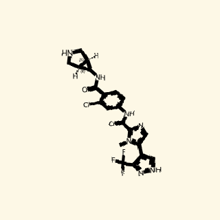 Cn1c(-c2c[nH]nc2C(F)(F)F)cnc1C(=O)Nc1ccc(C(=O)NC2[C@H]3CNC[C@@H]23)c(Cl)c1